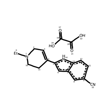 CCN1CC=C(c2cc3cc(C#N)ccc3[nH]2)CC1.O=C(O)C(=O)O